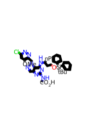 CCCC(CCO[Si](c1ccccc1)(c1ccccc1)C(C)(C)C)Nc1nc(NC(=O)O)nc2cnn(Cc3nnc(Cl)cc3OC)c12